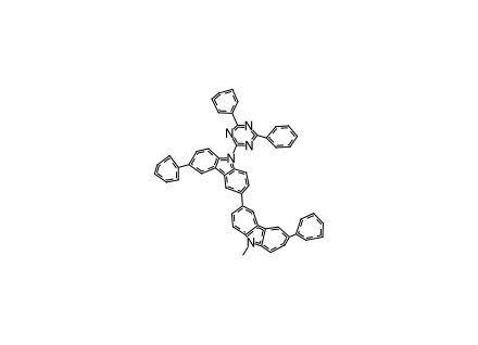 Cn1c2ccc(-c3ccccc3)cc2c2cc(-c3ccc4c(c3)c3cc(-c5ccccc5)ccc3n4-c3nc(-c4ccccc4)nc(-c4ccccc4)n3)ccc21